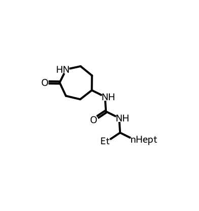 CCCCCCCC(CC)NC(=O)NC1CCNC(=O)CC1